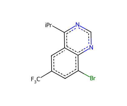 CC(C)c1ncnc2c(Br)cc(C(F)(F)F)cc12